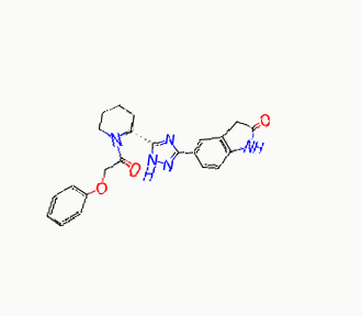 O=C1Cc2cc(-c3n[nH]c([C@H]4CCCCN4C(=O)COc4ccccc4)n3)ccc2N1